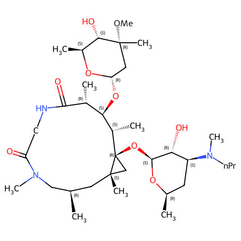 CCCN(C)[C@H]1C[C@@H](C)O[C@@H](O[C@@]23C[C@]2(C)C[C@@H](C)CN(C)C(=O)CNC(=O)[C@H](C)[C@@H](O[C@H]2C[C@@](C)(OC)[C@@H](O)[C@H](C)O2)[C@@H]3C)[C@@H]1O